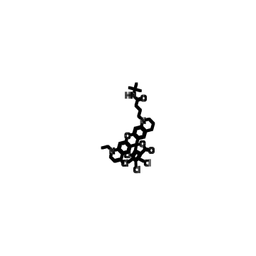 CCN1CC=C(C)c2cc3c(cc21)Oc1cc2c(cc1C31OC(=O)c3c(Cl)c(Cl)c(Cl)c(Cl)c31)CCCN2CCCC(=O)NC(C)(C)C